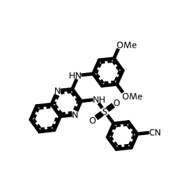 COc1cc(Nc2nc3ccccc3nc2NS(=O)(=O)c2cccc(C#N)c2)cc(OC)c1